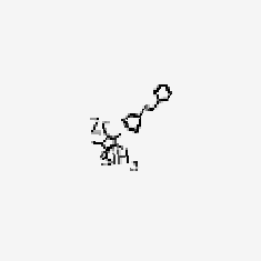 CC1=C(C)C(C)C([SiH3])=C1C.[Zr].c1ccc(CCc2ccccc2)cc1